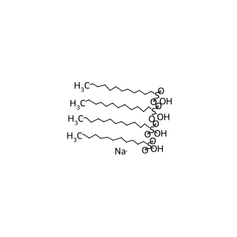 CCCCCCCCCCCCS(=O)(=O)O.CCCCCCCCCCCCS(=O)(=O)O.CCCCCCCCCCCCS(=O)(=O)O.CCCCCCCCCCCCS(=O)(=O)O.[Na]